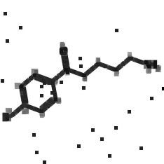 NCCCCC(=O)c1ccc(Br)cc1